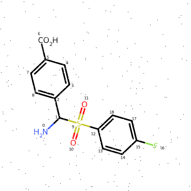 NC(c1ccc(C(=O)O)cc1)S(=O)(=O)c1ccc(F)cc1